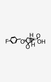 O=C(O)[C@H]1[C@@H]2C[C@@H](OCc3ccc(F)cc3)C(=O)[C@@H]21